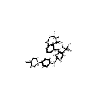 C[C@H]1COc2cccc(Nc3nc(Nc4ccc(N5CCN(C)CC5)cc4)ncc3C(F)(F)F)c2C(=O)N1